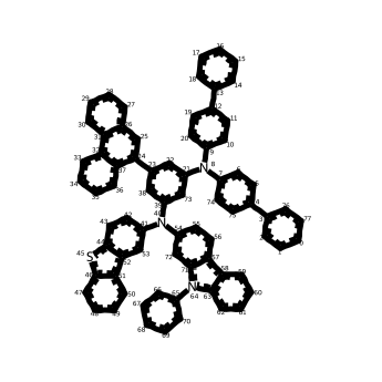 c1ccc(-c2ccc(N(c3ccc(-c4ccccc4)cc3)c3cc(-c4cc5ccccc5c5ccccc45)cc(N(c4ccc5sc6ccccc6c5c4)c4ccc5c6ccccc6n(-c6ccccc6)c5c4)c3)cc2)cc1